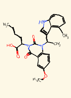 CCCCC(C(=O)O)n1c(=O)c2cc(OC)ccc2n(C(C)c2c[nH]c3cccc(C)c23)c1=O